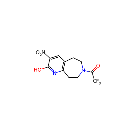 O=C(N1CCc2cc([N+](=O)[O-])c(O)nc2CC1)C(F)(F)F